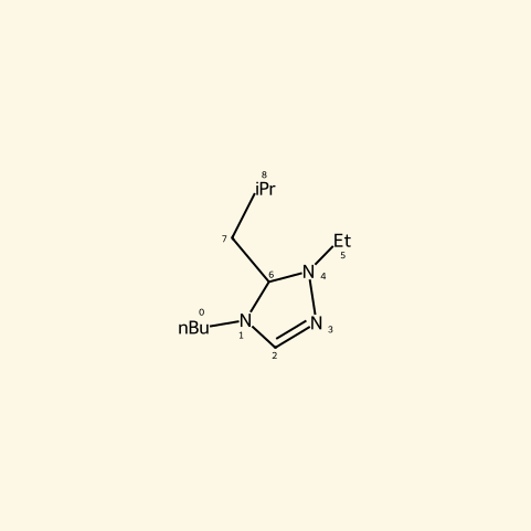 CCCCN1C=NN(CC)C1CC(C)C